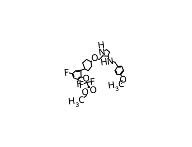 CCOC(=O)C(F)(F)Oc1c(F)cc(F)cc1C1CCC(OCC2NCCC2NCc2ccc(OC)cc2)CC1